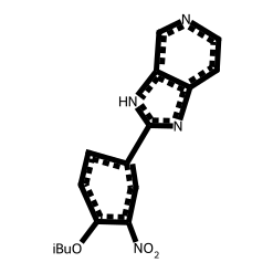 CC(C)COc1ccc(-c2nc3ccncc3[nH]2)cc1[N+](=O)[O-]